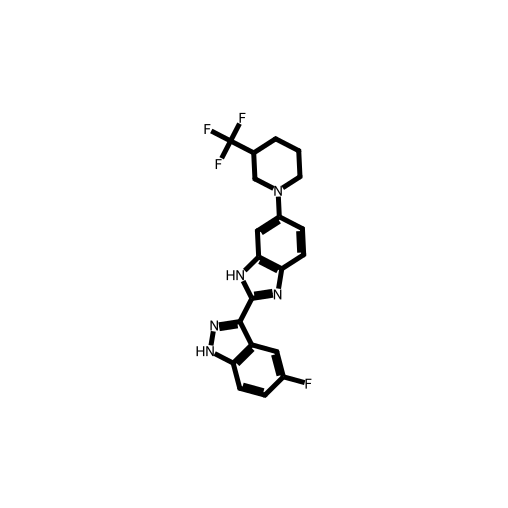 Fc1ccc2[nH]nc(-c3nc4ccc(N5CCCC(C(F)(F)F)C5)cc4[nH]3)c2c1